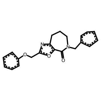 O=C1c2oc(COc3ccccc3)nc2CCCN1Cc1ccccc1